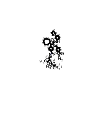 CC(C)[C@@H](NC(=O)OC(C)(C)C)C(=O)O/N=C(\N)c1ccc2c(c1)N(Cc1ccc(C(N)=O)cc1)C(C(=O)Nc1cccc(N3CCCC3)c1)C2C1CCCCCCCC1